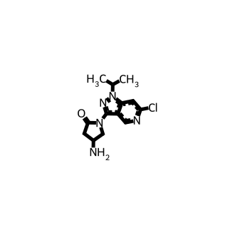 CC(C)n1nc(N2CC(N)CC2=O)c2cnc(Cl)cc21